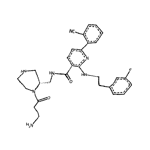 N#Cc1ccccc1-c1ccc(C(=O)NC[C@H]2CNCCN2C(=O)CCN)c(NCCc2cccc(F)c2)n1